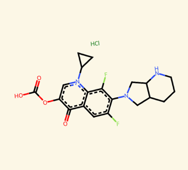 Cl.O=C(O)Oc1cn(C2CC2)c2c(F)c(N3CC4CCCNC4C3)c(F)cc2c1=O